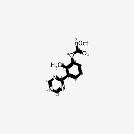 CCCCCCCCC(=O)Oc1cccc(-c2ncncn2)c1C